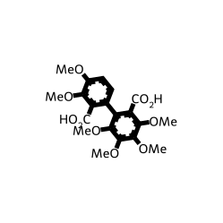 COc1ccc(-c2c(OC)c(OC)c(OC)c(OC)c2C(=O)O)c(C(=O)O)c1OC